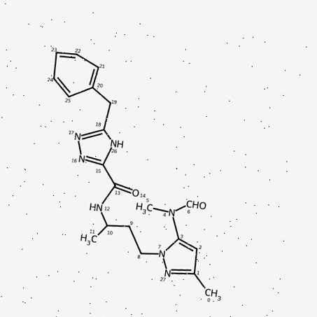 Cc1cc(N(C)C=O)n(CCC(C)NC(=O)c2nnc(Cc3ccccc3)[nH]2)n1